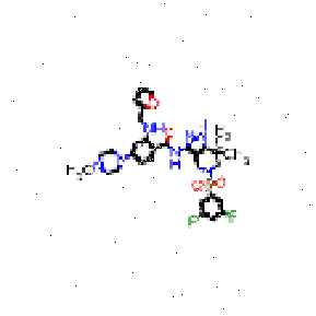 CN1CCN(c2ccc(C(=O)Nc3n[nH]c4c3CN(S(=O)(=O)c3cc(F)cc(F)c3)CC4(C)C)c(NCc3ccco3)c2)CC1